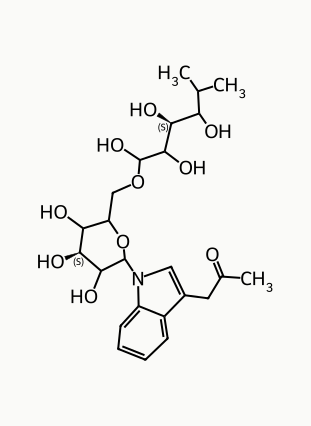 CC(=O)Cc1cn(C2OC(COC(O)C(O)[C@@H](O)C(O)C(C)C)C(O)[C@H](O)C2O)c2ccccc12